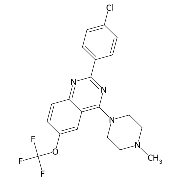 CN1CCN(c2nc(-c3ccc(Cl)cc3)nc3ccc(OC(F)(F)F)cc23)CC1